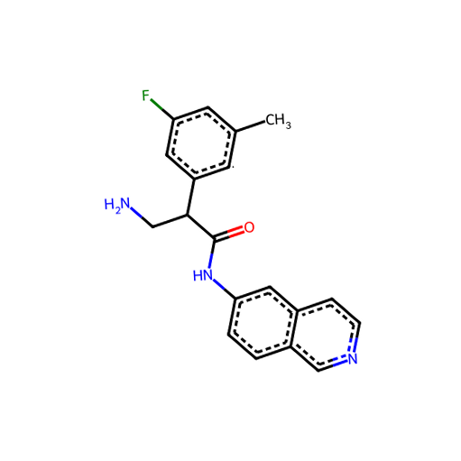 Cc1[c]c(C(CN)C(=O)Nc2ccc3cnccc3c2)cc(F)c1